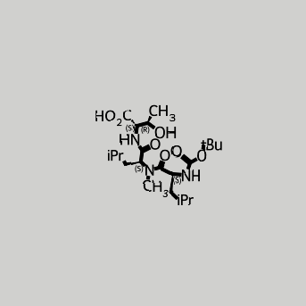 CC(C)C[C@H](NC(=O)OC(C)(C)C)C(=O)N(C)[C@@H](CC(C)C)C(=O)N[C@H](C(=O)O)[C@@H](C)O